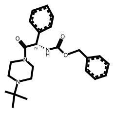 CC(C)(C)N1CCN(C(=O)[C@@H](NC(=O)OCc2ccccc2)c2ccccc2)CC1